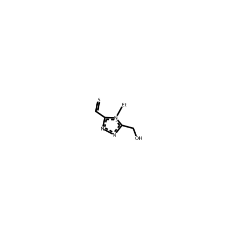 CCn1c(C=S)nnc1CO